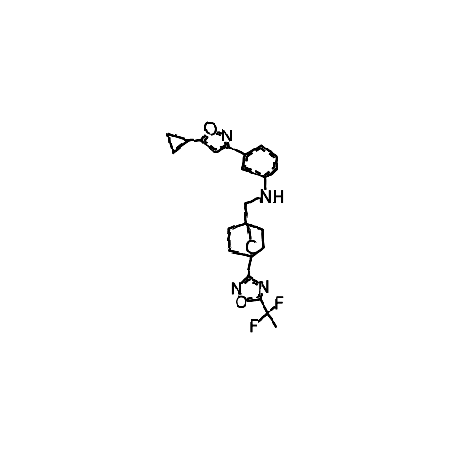 CC(F)(F)c1nc(C23CCC(CNc4cccc(-c5cc(C6CC6)on5)c4)(CC2)CC3)no1